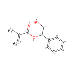 C=C(C)C(=O)OC(CO)c1ccccc1